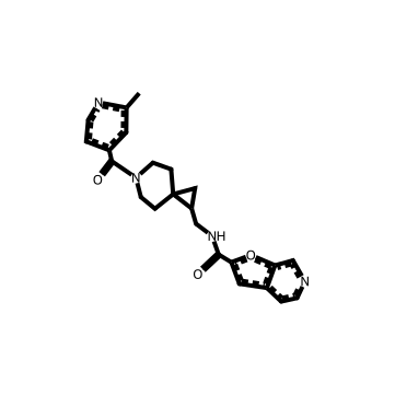 Cc1cc(C(=O)N2CCC3(CC2)CC3CNC(=O)c2cc3ccncc3o2)ccn1